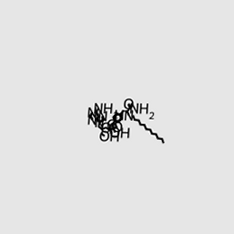 CCCCCCCCCCCCN[C@@H](Cc1ccc(OP(=O)(O)CO[C@H](CO)Cn2cnc3c(N)ncnc32)cc1)C(N)=O